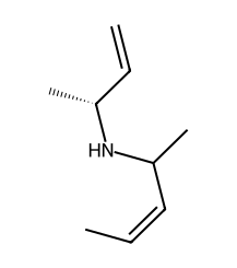 C=C[C@@H](C)NC(C)/C=C\C